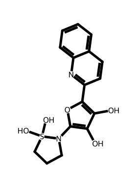 Oc1c(-c2ccc3ccccc3n2)oc(N2CCCS2(O)O)c1O